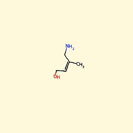 C/C(=C/CO)CN